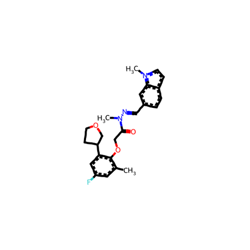 Cc1cc(F)cc(C2CCOC2)c1OCC(=O)N(C)N=Cc1ccc2ccn(C)c2c1